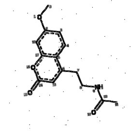 COc1ccc2c(CCNC(C)=O)cc(=O)oc2c1